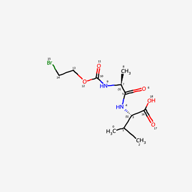 CC(C)[C@H](NC(=O)[C@H](C)NC(=O)OCCBr)C(=O)O